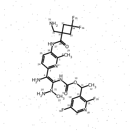 Cc1nc(/C(N)=C(\NC(=O)OC(C)c2cc(F)cnc2F)N(C)N)ccc1NC(=O)C1(CN)CC(F)(F)C1